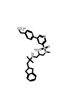 CN(CC(O)CNC(C)(C)CC1Cc2ccccc2C1)S(=O)(=O)c1cncc(-c2ccc(CC(=O)O)cc2)c1